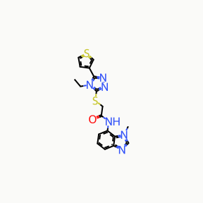 CCn1c(SCC(=O)Nc2cccc3ncn(C)c23)nnc1-c1ccsc1